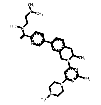 CC1Cc2ccc(-c3ccc(C(=O)N(C)CCN(C)C)nc3)cc2CN1c1cc(N2CCN(C)CC2)nc(N)n1